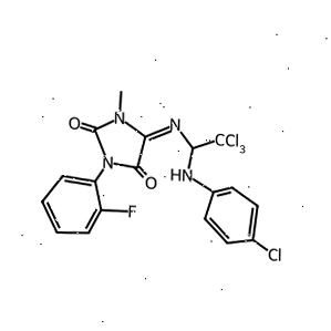 CN1C(=O)N(c2ccccc2F)C(=O)C1=NC(Nc1ccc(Cl)cc1)C(Cl)(Cl)Cl